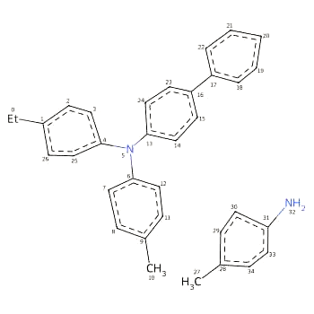 CCc1ccc(N(c2ccc(C)cc2)c2ccc(-c3ccccc3)cc2)cc1.Cc1ccc(N)cc1